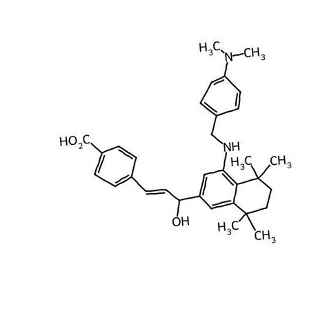 CN(C)c1ccc(CNc2cc(C(O)/C=C/c3ccc(C(=O)O)cc3)cc3c2C(C)(C)CCC3(C)C)cc1